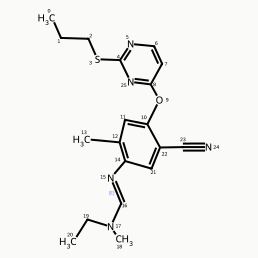 CCCSc1nccc(Oc2cc(C)c(/N=C/N(C)CC)cc2C#N)n1